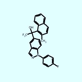 Cc1ccc2ccccc2c1C(O)(c1ccc2c(cnn2-c2ccc(F)cc2)c1)C(F)(F)F